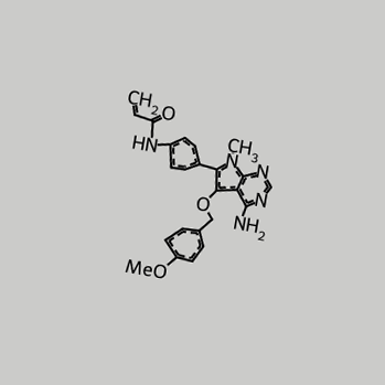 C=CC(=O)Nc1ccc(-c2c(OCc3ccc(OC)cc3)c3c(N)ncnc3n2C)cc1